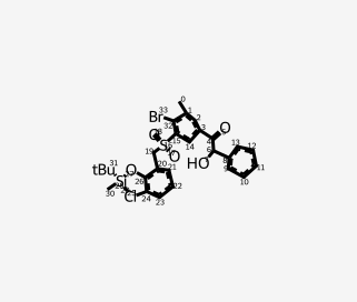 Cc1cc(C(=O)C(O)c2ccccc2)cc(S(=O)(=O)Cc2cccc(Cl)c2O[Si](C)(C)C(C)(C)C)c1Br